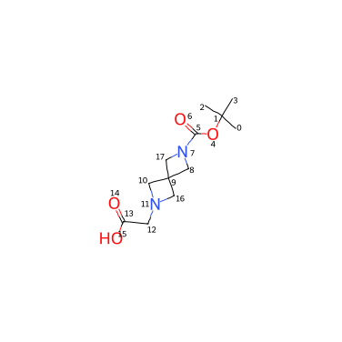 CC(C)(C)OC(=O)N1CC2(CN(CC(=O)O)C2)C1